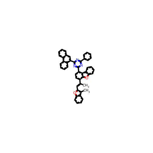 C/C(=C\c1oc2ccccc2c1C)c1ccc(-c2nc(-c3ccccc3)nc(-c3cc4ccccc4c4ccccc34)n2)c2c1oc1ccccc12